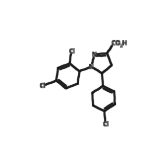 O=C(O)C1=NN(C2CC=C(Cl)C=C2Cl)C(C2=CC=C(Cl)CC2)C1